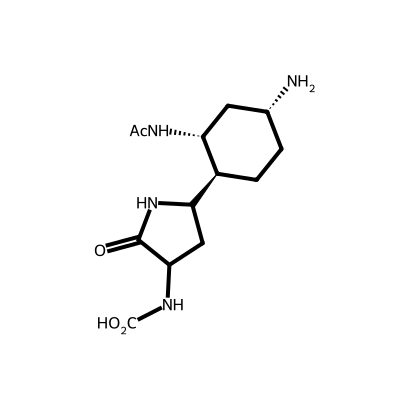 CC(=O)N[C@@H]1C[C@H](N)CC[C@H]1C1CC(NC(=O)O)C(=O)N1